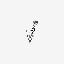 CC(C)(C)OC(=O)COc1ccc(OCC(=O)Nc2ccc(Cl)cn2)c(N)c1